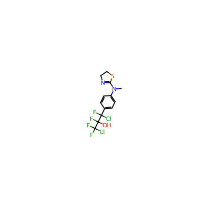 CN(C1=NCCS1)c1ccc(C(F)(Cl)C(O)(F)C(F)(F)Cl)cc1